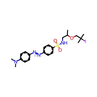 CC(CNS(=O)(=O)c1ccc(/N=N/c2ccc(N(C)C)cc2)cc1)OCC(C)(C)I